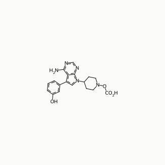 Nc1ncnc2c1c(-c1cccc(O)c1)cn2C1CCN(OC(=O)O)CC1